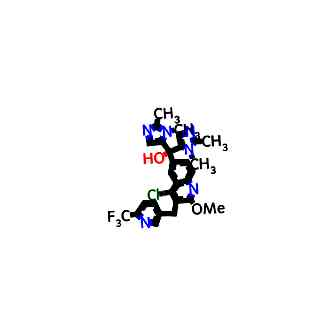 COc1nc2ccc(C(O)(c3cnc(C)n3C)c3cnc(C)n3C)cc2c(Cl)c1Cc1ccc(C(F)(F)F)nc1